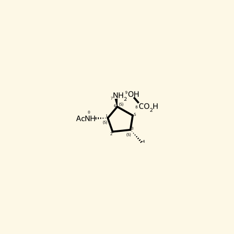 CC(=O)N[C@H]1C[C@@H](C)C[C@@H]1N.O=C(O)O